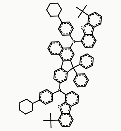 CC(C)(C)c1cccc2c1oc1c(N(c3ccc(C4CCCCC4)cc3)c3ccc4c(c3)C(c3ccccc3)(c3ccccc3)c3cc(N(c5ccc(C6CCCCC6)cc5)c5cccc6c5oc5c(C(C)(C)C)cccc56)c5ccccc5c3-4)cccc12